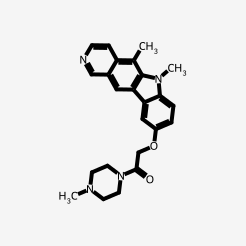 Cc1c2ccncc2cc2c3cc(OCC(=O)N4CCN(C)CC4)ccc3n(C)c12